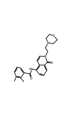 Cc1cccc(C(=O)Nc2cccc3c(=O)n(CCN4CCOCC4)ccc23)c1C